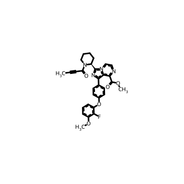 CC#CC(=O)N1CCCC[C@H]1c1nc(-c2ccc(Oc3cccc(OC)c3F)cc2)c2c(C(=O)OC)nccn12